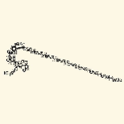 COCCOCCOCCOCCOCCOCCOCCOCCOCCOCCOCCOCCOCCOCCOCCOCCOCC#Cc1cc(NC(=O)[C@H](C)NC(=O)[C@@H](NC(=O)CN2C(=O)[C@@H](N3C(=O)C=CC3=O)C[C@H]2COCCS(=O)(=O)O)C(C)C)ccc1COC(C)=O